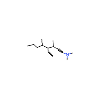 C=CC(C(C)C#CN(C)C)C(C)CCC